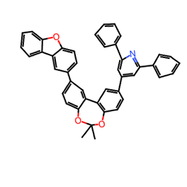 CC1(C)Oc2ccc(-c3cc(-c4ccccc4)nc(-c4ccccc4)c3)cc2-c2cc(-c3ccc4oc5ccccc5c4c3)ccc2O1